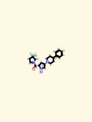 O=C([C@@H]1C[C@H](N2CCC(c3ccccc3)CC2)CN1)N1CCC(F)(F)C1